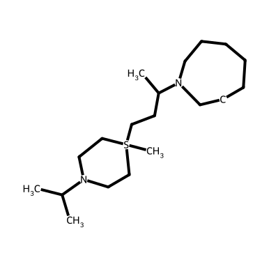 CC(C)N1CCS(C)(CCC(C)N2CCCCCCC2)CC1